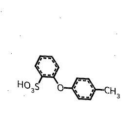 Cc1ccc(Oc2ccccc2S(=O)(=O)O)cc1